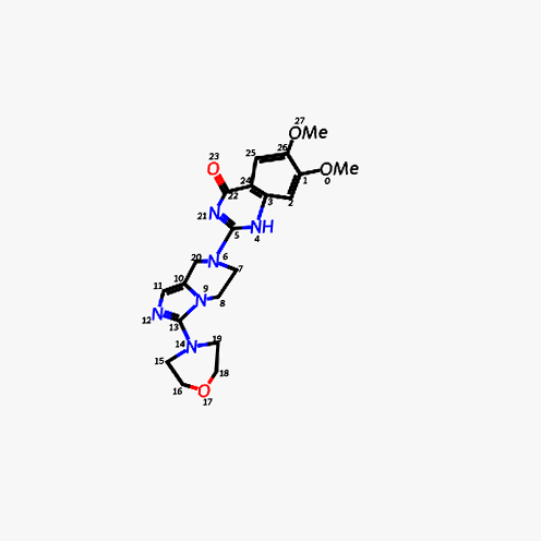 COc1cc2[nH]c(N3CCn4c(cnc4N4CCOCC4)C3)nc(=O)c2cc1OC